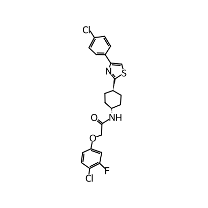 O=C(COc1ccc(Cl)c(F)c1)N[C@H]1CC[C@H](c2nc(-c3ccc(Cl)cc3)cs2)CC1